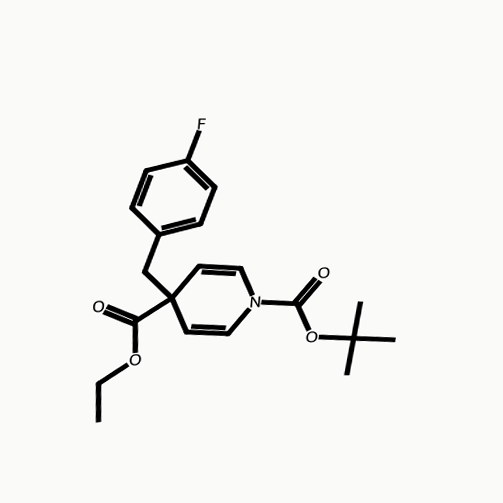 CCOC(=O)C1(Cc2ccc(F)cc2)C=CN(C(=O)OC(C)(C)C)C=C1